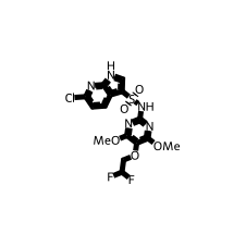 COc1nc(NS(=O)(=O)c2c[nH]c3nc(Cl)ccc23)nc(OC)c1OCC(F)F